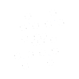 Cc1cc(C)c(-c2cc(B(c3c(C)cc(N(c4ccccc4)c4ccccc4)cc3C)c3c(C)cc(N(c4ccccc4)c4ccccc4)cc3C)c3ccc4c(-c5c(C)cc(C(F)(F)F)cc5C)cc(B(c5c(C)cc(N(c6ccccc6)c6ccccc6)cc5C)c5c(C)cc(N(c6ccccc6)c6ccccc6)cc5C)c5ccc2c3c54)c(C)c1